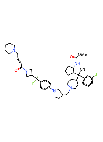 COC(=O)N[C@H]1CCC[C@@H]1C(C#N)(c1cccc(F)c1)C1CCN(C[C@@H]2CCN(c3ccc(C(F)(F)C4CN(C(=O)/C=C/CN5CCCCC5)C4)cc3)C2)CC1